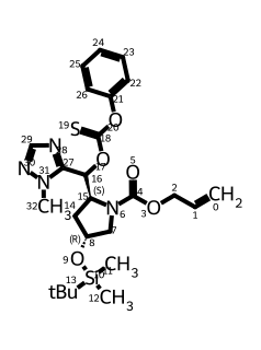 C=CCOC(=O)N1C[C@H](O[Si](C)(C)C(C)(C)C)C[C@H]1C(OC(=S)Oc1ccccc1)c1ncnn1C